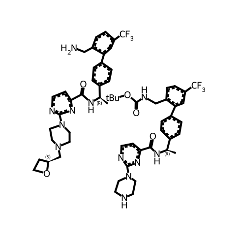 C[C@@H](NC(=O)c1ccnc(N2CCN(C[C@@H]3CCO3)CC2)n1)c1ccc(-c2cc(C(F)(F)F)ccc2CN)cc1.C[C@@H](NC(=O)c1ccnc(N2CCNCC2)n1)c1ccc(-c2cc(C(F)(F)F)ccc2CNC(=O)OC(C)(C)C)cc1